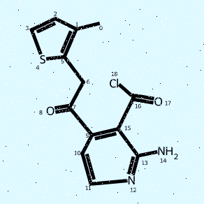 Cc1ccsc1CC(=O)c1ccnc(N)c1C(=O)Cl